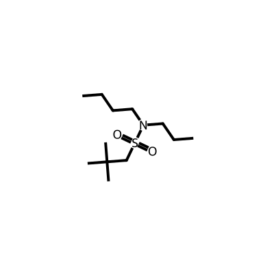 CCCCN(CCC)S(=O)(=O)CC(C)(C)C